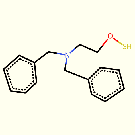 SOCCN(Cc1ccccc1)Cc1ccccc1